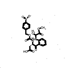 COC(=O)C(C)Nc1ccccc1C(=O)[C@H](CC(=O)O)NC(=O)OCc1ccc([N+](=O)[O-])cc1